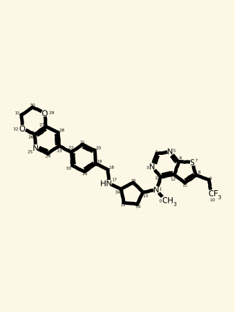 CN(c1ncnc2sc(CC(F)(F)F)cc12)C1CCC(NCc2ccc(-c3cnc4c(c3)OCCO4)cc2)C1